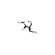 CC=C(CS)C(=O)OC